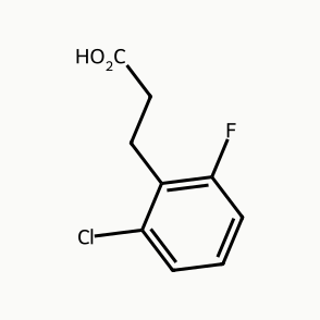 O=C(O)CCc1c(F)cccc1Cl